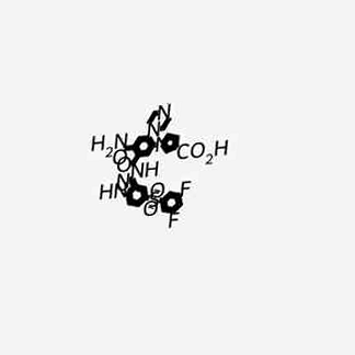 CN1CCN(c2cc(C(N)=O)c(C(=O)Nc3n[nH]c4ccc(S(=O)(=O)c5cc(F)cc(F)c5)cc34)cc2-n2ccc(C(=O)O)c2)CC1